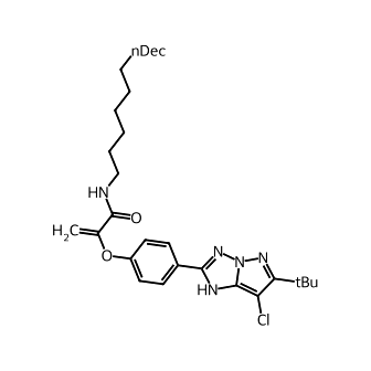 C=C(Oc1ccc(-c2nn3nc(C(C)(C)C)c(Cl)c3[nH]2)cc1)C(=O)NCCCCCCCCCCCCCCCC